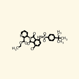 CCOC(=O)c1ncccc1N1C(=O)c2c(Cl)ccc(NS(=O)(=O)c3ccc(C(C)(C)C)cc3)c2C1=O